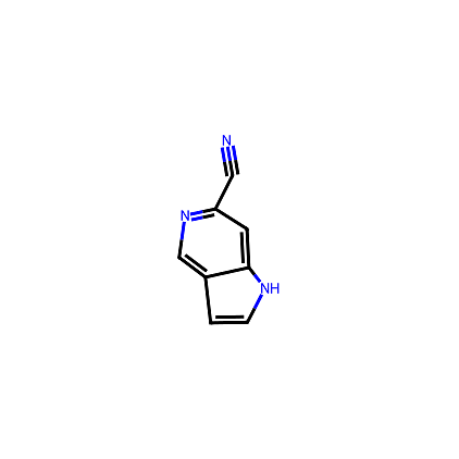 N#Cc1cc2[nH]ccc2cn1